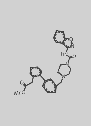 COC(=O)Cc1ccccc1-c1cccc(CN2CCN(C(=O)Nc3noc4ccccc34)CC2)c1